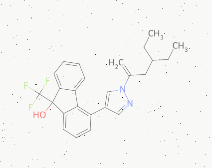 C=C(CC(CC)CC)n1cc(-c2cccc3c2-c2ccccc2C3(O)C(F)(F)F)cn1